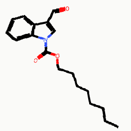 CCCCCCCCOC(=O)n1cc(C=O)c2ccccc21